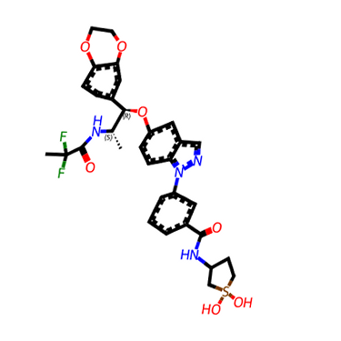 C[C@H](NC(=O)C(C)(F)F)[C@H](Oc1ccc2c(cnn2-c2cccc(C(=O)NC3CCS(O)(O)C3)c2)c1)c1ccc2c(c1)OCCO2